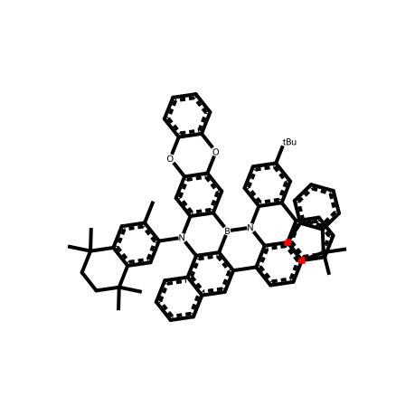 Cc1cc2c(cc1N1c3cc4c(cc3B3c5c(cc6ccccc6c51)-c1ccc5c(c1N3c1ccc(C(C)(C)C)cc1-c1ccccc1)-c1ccccc1C5(C)C)Oc1ccccc1O4)C(C)(C)CCC2(C)C